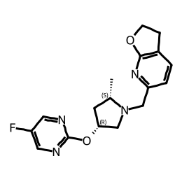 C[C@H]1C[C@@H](Oc2ncc(F)cn2)CN1Cc1ccc2c(n1)OCC2